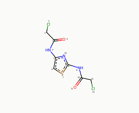 O=C(CCl)Nc1csc(NC(=O)CCl)n1